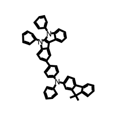 CC1(C)c2ccccc2-c2ccc(N(c3ccccc3)c3ccc(-c4ccc5c(c4)c4c6ccccc6n(-c6ccccc6)c4n5-c4ccccc4)cc3)cc21